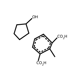 Cc1c(C(=O)O)cccc1C(=O)O.OC1CCCC1